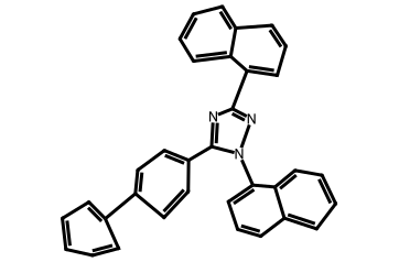 c1ccc(-c2ccc(-c3nc(-c4cccc5ccccc45)nn3-c3cccc4ccccc34)cc2)cc1